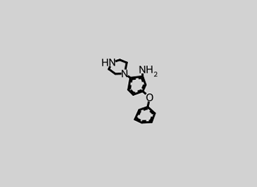 Nc1cc(Oc2ccccc2)ccc1N1CCNCC1